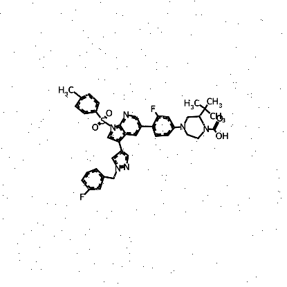 Cc1ccc(S(=O)(=O)n2cc(-c3cnn(Cc4cccc(F)c4)c3)c3cc(-c4ccc(N5CCN(C(=O)O)C(C(C)(C)C)C5)cc4F)cnc32)cc1